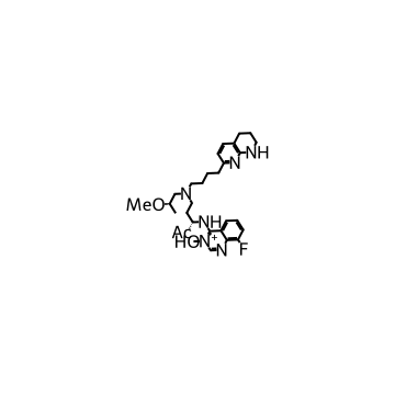 CO[C@H](C)CN(CCCCc1ccc2c(n1)NCCC2)CC[C@H](Nc1c2cccc(F)c2nc[n+]1O)C(C)=O